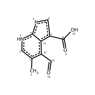 Cc1c[nH]c2ncc(C(=O)O)c-2c1C=O